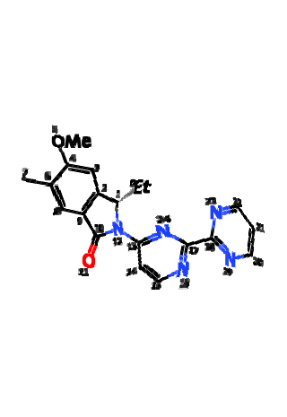 CC[C@H]1c2cc(OC)c(C)cc2C(=O)N1c1ccnc(-c2ncccn2)n1